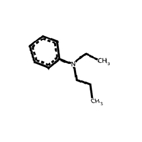 CCCN(CC)c1[c]cccc1